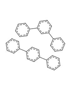 c1ccc(-c2ccc(-c3ccccc3)cc2)cc1.c1ccc(-c2cccc(-c3ccccc3)c2)cc1